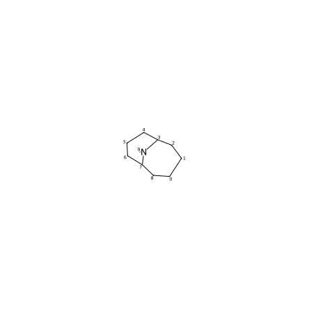 C1CCC2CCCC(C1)[N]2